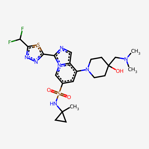 CN(C)CC1(O)CCN(c2cc(S(=O)(=O)NC3(C)CC3)cn3c(-c4nnc(C(F)F)s4)ncc23)CC1